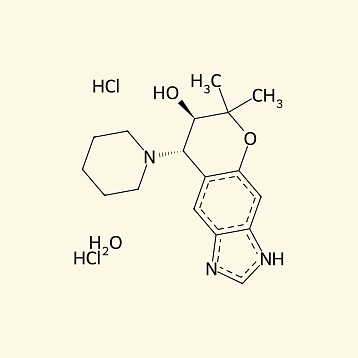 CC1(C)Oc2cc3[nH]cnc3cc2[C@H](N2CCCCC2)[C@H]1O.Cl.Cl.O